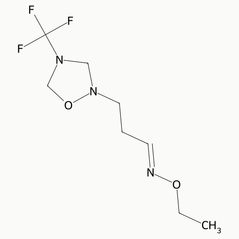 CCON=CCCN1CN(C(F)(F)F)CO1